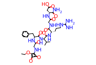 CCOc1c(NCC(=O)NC(Cc2ccccc2)C(=O)NC(C(=O)N[C@@H](CCCNC(=N)N)C(=O)NCC(=O)N[C@@H](CC(=O)O)C(N)=O)C(C)C)c(=O)c1=O